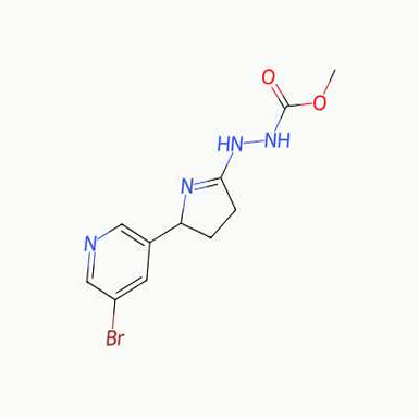 COC(=O)NNC1=NC(c2cncc(Br)c2)CC1